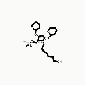 CC(C)(C)[Si](C)(C)OC[C@@H]1[C@@H](C/C=C\CCCCO)[C@@H](OC2CCCCO2)C[C@H]1OC1CCCCO1